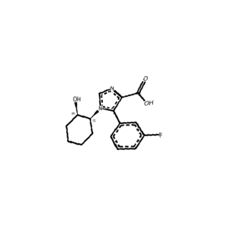 O=C(O)c1ncn([C@H]2CCCC[C@H]2O)c1-c1cccc(F)c1